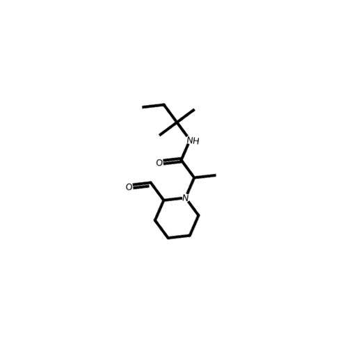 CCC(C)(C)NC(=O)C(C)N1CCCCC1C=O